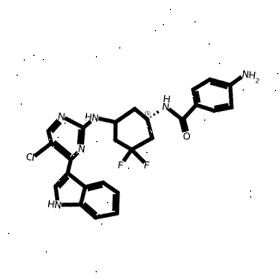 Nc1ccc(C(=O)N[C@H]2CC(Nc3ncc(Cl)c(-c4c[nH]c5ccccc45)n3)CC(F)(F)C2)cc1